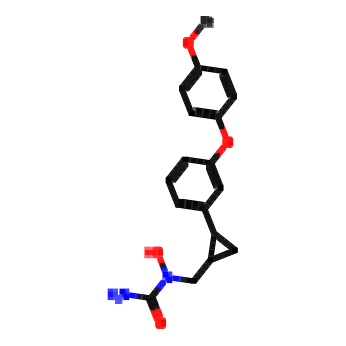 CCOc1ccc(Oc2cccc(C3CC3CN(O)C(N)=O)c2)cc1